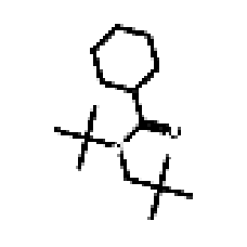 CC(C)(C)CN(C(=O)C1CCCCC1)C(C)(C)C